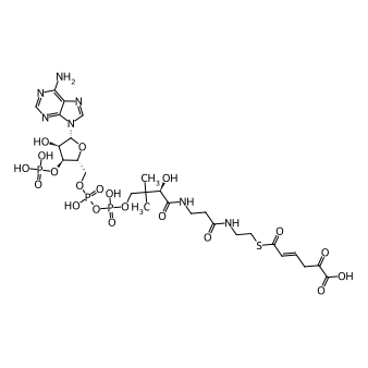 CC(C)(COP(=O)(O)OP(=O)(O)OC[C@H]1O[C@@H](n2cnc3c(N)ncnc32)[C@H](O)[C@@H]1OP(=O)(O)O)[C@@H](O)C(=O)NCCC(=O)NCCSC(=O)C=CCC(=O)C(=O)O